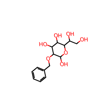 OCC(O)C1OC(O)C(OCc2ccccc2)C(O)C1O